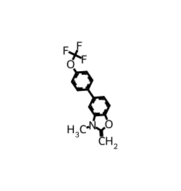 C=C1Oc2ccc(-c3ccc(OC(F)(F)F)cc3)cc2N1C